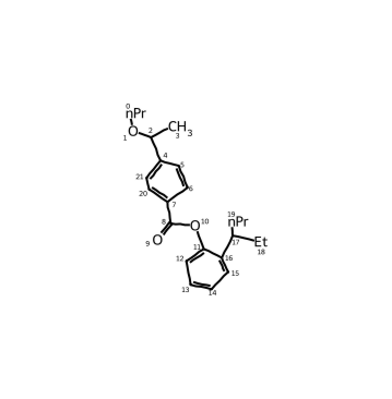 CCCOC(C)c1ccc(C(=O)Oc2ccccc2C(CC)CCC)cc1